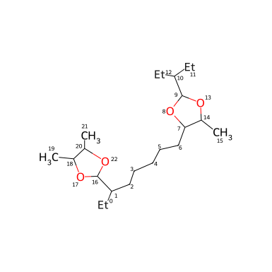 CCC(CCCCCC1OC(C(CC)CC)OC1C)C1OC(C)C(C)O1